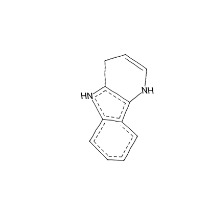 C1=CNc2c([nH]c3ccccc23)C1